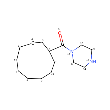 O=C(C1CCCCCCCCC1)N1CCNCC1